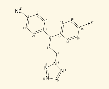 N#Cc1ccc(C(CCn2ncnn2)c2ccc(F)cc2)cc1